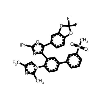 Cc1nc(C(F)(F)F)cn1-c1ccc(-c2cccc(S(C)(=O)=O)c2)cc1-c1nc(C(C)C)oc1-c1ccc2c(c1)OC(F)(F)O2